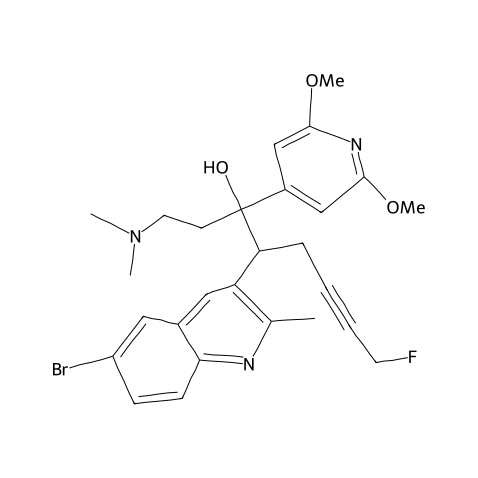 COc1cc(C(O)(CCN(C)C)C(CC#CCF)c2cc3cc(Br)ccc3nc2C)cc(OC)n1